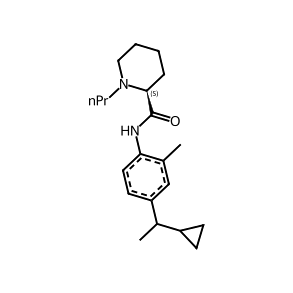 CCCN1CCCC[C@H]1C(=O)Nc1ccc(C(C)C2CC2)cc1C